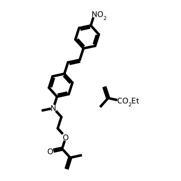 C=C(C)C(=O)OCC.C=C(C)C(=O)OCCN(C)c1ccc(C=Cc2ccc([N+](=O)[O-])cc2)cc1